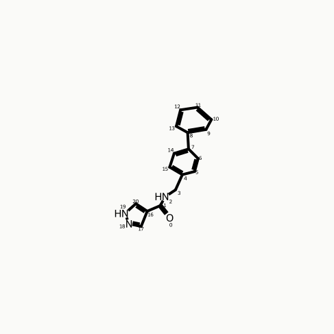 O=C(NCc1ccc(-c2ccccc2)cc1)c1cn[nH]c1